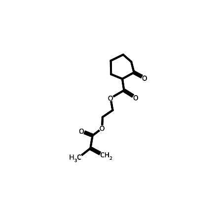 C=C(C)C(=O)OCCOC(=O)C1CCCCC1=O